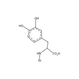 CCNC(Cc1ccc(O)c(O)c1)C(=O)O